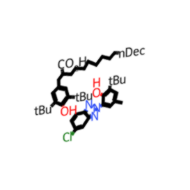 CCCCCCCCCCCCCCCCCCC(Cc1cc(C(C)(C)C)c(O)c(C(C)(C)C)c1)C(=O)O.Cc1cc(-n2nc3ccc(Cl)cc3n2)c(O)c(C(C)(C)C)c1